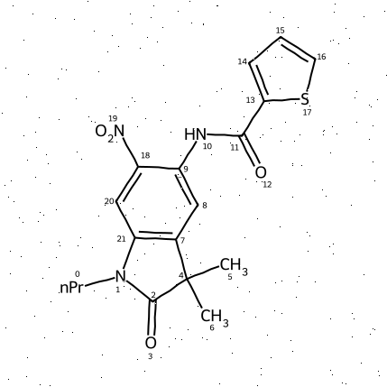 CCCN1C(=O)C(C)(C)c2cc(NC(=O)c3cccs3)c([N+](=O)[O-])cc21